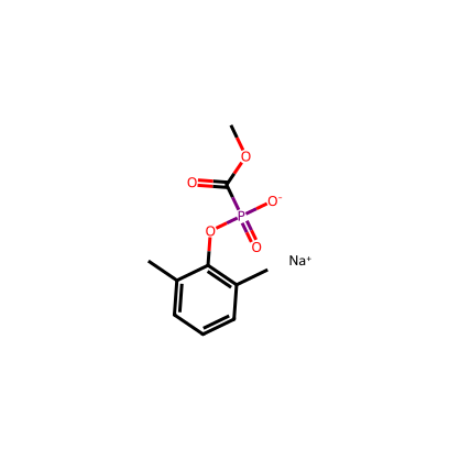 COC(=O)P(=O)([O-])Oc1c(C)cccc1C.[Na+]